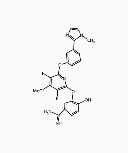 COc1c(F)c(Oc2cccc(-c3nccn3C)c2)nc(Oc2cc(C(=N)N)ccc2O)c1F